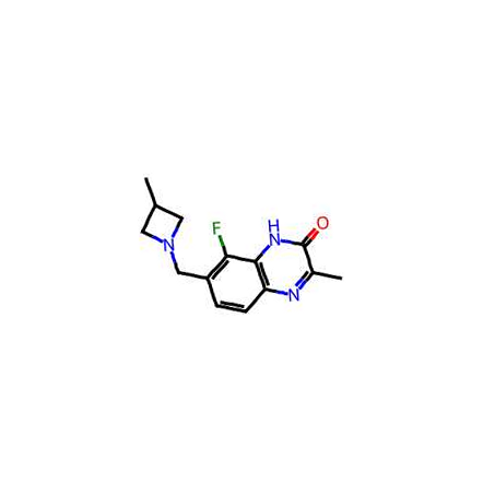 Cc1nc2ccc(CN3CC(C)C3)c(F)c2[nH]c1=O